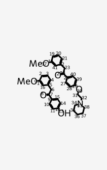 COc1cccc(CC(=O)c2ccc(O)cc2)c1.COc1cccc(CC(=O)c2ccc(OCCN3CCCCC3)cc2)c1